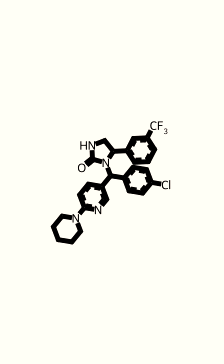 O=C1NCC(c2cccc(C(F)(F)F)c2)N1C(c1ccc(Cl)cc1)c1ccc(N2CCCCC2)nc1